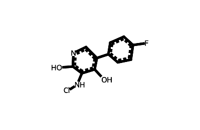 Oc1ncc(-c2ccc(F)cc2)c(O)c1NCl